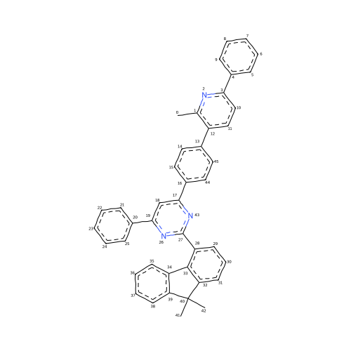 Cc1nc(-c2ccccc2)ccc1-c1ccc(-c2cc(-c3ccccc3)nc(-c3cccc4c3-c3ccccc3C4(C)C)n2)cc1